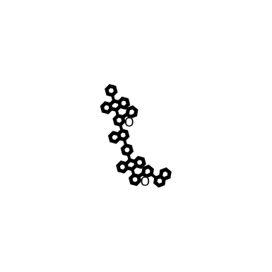 c1ccc(-c2c3ccccc3c(-c3ccc(-c4ccc(-c5ccc(-c6c7ccccc7c(-c7cccc8oc9c(-c%10cccc%11ccccc%10%11)cccc9c78)c7ccccc67)cc5)c5ccccc45)c4oc5ccccc5c34)c3ccccc23)cc1